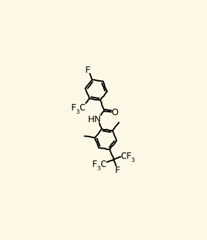 Cc1cc(C(F)(C(F)(F)F)C(F)(F)F)cc(C)c1NC(=O)c1ccc(F)cc1C(F)(F)F